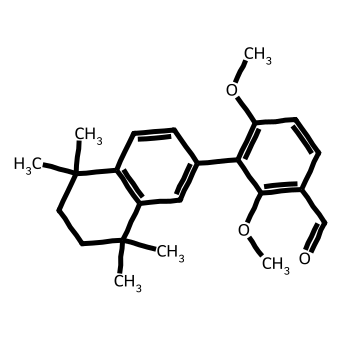 COc1ccc(C=O)c(OC)c1-c1ccc2c(c1)C(C)(C)CCC2(C)C